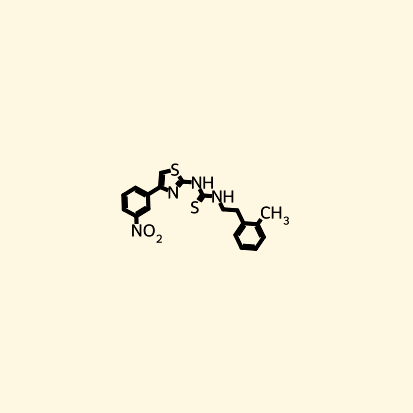 Cc1ccccc1CCNC(=S)Nc1nc(-c2cccc([N+](=O)[O-])c2)cs1